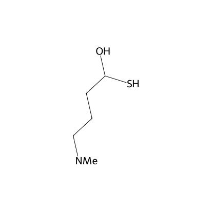 CNCCCC(O)S